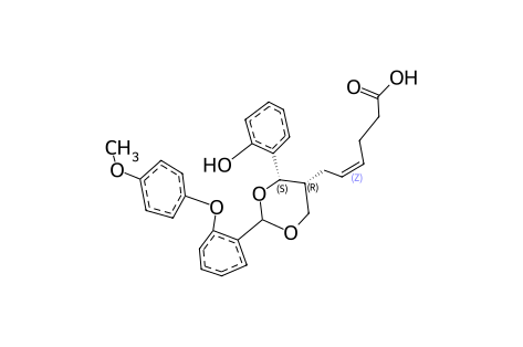 COc1ccc(Oc2ccccc2C2OC[C@@H](C/C=C\CCC(=O)O)[C@@H](c3ccccc3O)O2)cc1